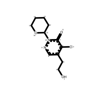 O=c1c(Cl)c(CCO)cnn1C1CCCCO1